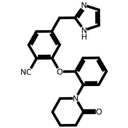 N#Cc1ccc(Cc2ncc[nH]2)cc1Oc1ccccc1N1CCCCC1=O